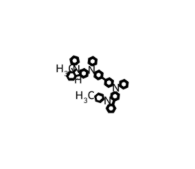 CC1C=CC(n2c3ccccc3c3ccc(N(c4ccccc4)c4ccc(-c5ccc(N(c6ccccc6)c6ccc7c(c6)N(c6ccccc6)[C@@]6(C)C=CC=C[C@H]76)cc5)cc4)cc32)=CC1